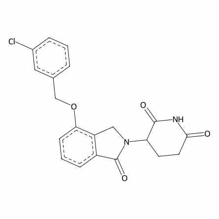 O=C1CCC(N2Cc3c(OCc4cccc(Cl)c4)cccc3C2=O)C(=O)N1